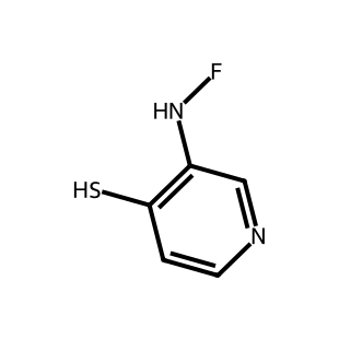 FNc1cnccc1S